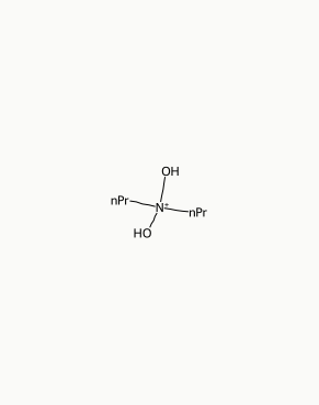 CCC[N+](O)(O)CCC